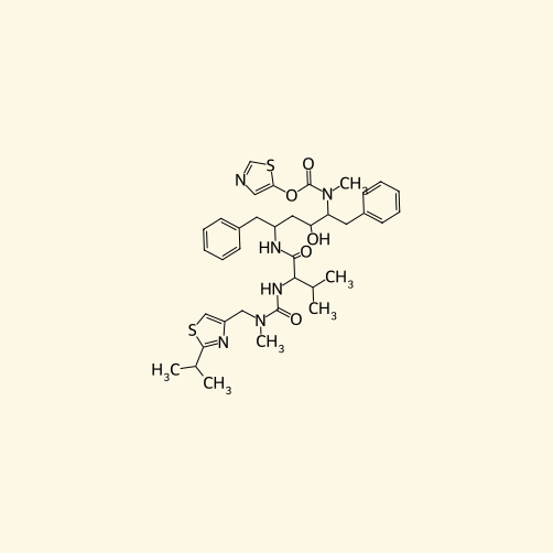 CC(C)c1nc(CN(C)C(=O)NC(C(=O)NC(Cc2ccccc2)CC(O)C(Cc2ccccc2)N(C)C(=O)Oc2cncs2)C(C)C)cs1